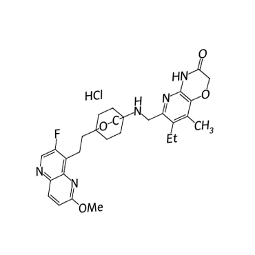 CCc1c(CNC23CCC(CCc4c(F)cnc5ccc(OC)nc45)(CC2)OC3)nc2c(c1C)OCC(=O)N2.Cl